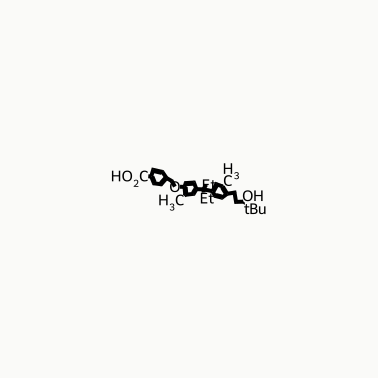 CCC(CC)(c1ccc(CC[C@H](O)C(C)(C)C)c(C)c1)c1ccc(OCc2ccc(C(=O)O)cc2)c(C)c1